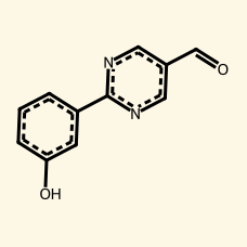 O=Cc1cnc(-c2cccc(O)c2)nc1